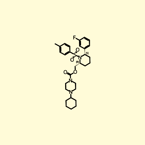 Cc1ccc(S(=O)(=O)N2[C@@H](COC(=O)N3CCN(C4CCCCC4)CC3)CCC[C@H]2c2cccc(F)c2)cc1